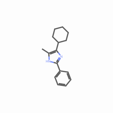 Cc1[nH]c(-c2ccccc2)nc1C1CCCCC1